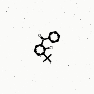 CC(C)(C)c1cccc(C(=O)c2ccccc2)c1Cl